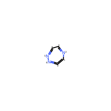 C1=CN=CC=NN=1